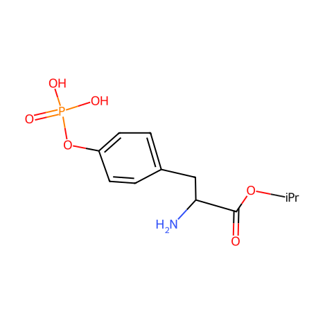 CC(C)OC(=O)C(N)Cc1ccc(OP(=O)(O)O)cc1